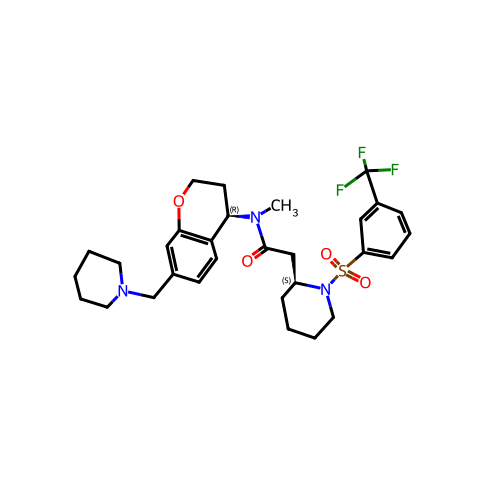 CN(C(=O)C[C@@H]1CCCCN1S(=O)(=O)c1cccc(C(F)(F)F)c1)[C@@H]1CCOc2cc(CN3CCCCC3)ccc21